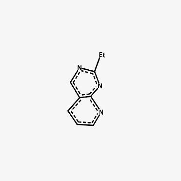 CCc1ncc2cccnc2n1